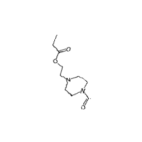 CCC(=O)OCCN1CCN([C]=O)CC1